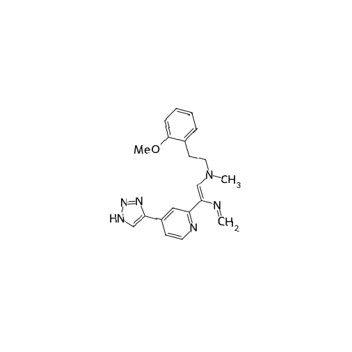 C=N/C(=C\N(C)CCc1ccccc1OC)c1cc(-c2c[nH]nn2)ccn1